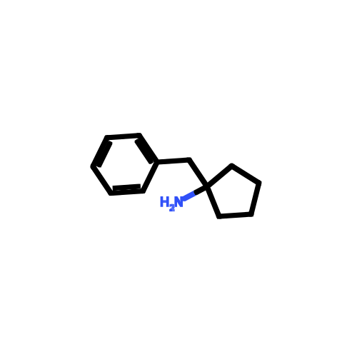 NC1(Cc2ccccc2)CCCC1